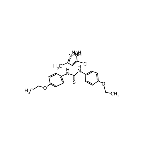 CCOc1ccc(NC(=S)Nc2ccc(OCC)cc2)cc1.Cc1cc(Cl)[nH]n1.[NaH]